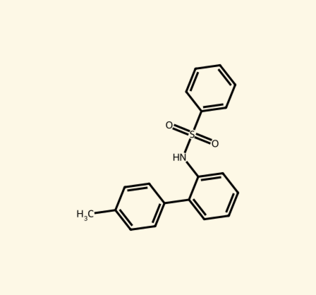 Cc1ccc(-c2ccccc2NS(=O)(=O)c2ccccc2)cc1